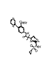 COc1cc(NC(=O)C(C)(C)c2csc(NS(=O)(=O)C3CC3)n2)ccc1-c1cnccn1